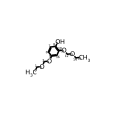 CCOCOc1ccc(O)c(OCOCC)c1